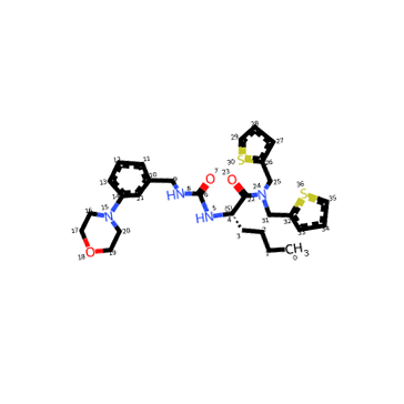 CCCC[C@H](NC(=O)NCc1cccc(N2CCOCC2)c1)C(=O)N(Cc1cccs1)Cc1cccs1